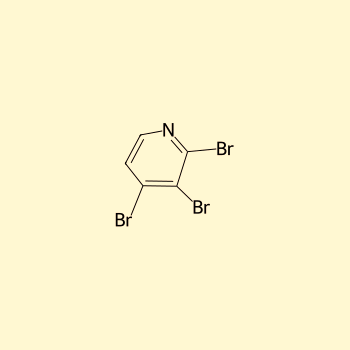 Brc1ccnc(Br)c1Br